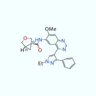 CCn1cc(-c2ncnc3cc(OC)c(NC(=O)[C@]45COC[C@H]4C5)cc23)c(-c2ccccc2)n1